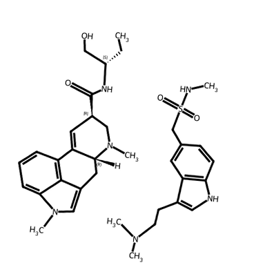 CC[C@@H](CO)NC(=O)[C@@H]1C=C2c3cccc4c3c(cn4C)C[C@H]2N(C)C1.CNS(=O)(=O)Cc1ccc2[nH]cc(CCN(C)C)c2c1